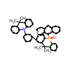 CC1(C)c2ccccc2N(c2cccc(-c3ccc4c(c3)C(C)(C)c3ccccc3P4(=O)c3c4ccccc4cc4ccccc34)c2)c2ccccc21